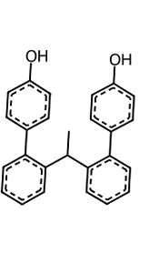 CC(c1ccccc1-c1ccc(O)cc1)c1ccccc1-c1ccc(O)cc1